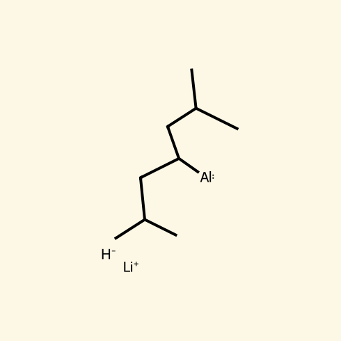 CC(C)C[CH]([Al])CC(C)C.[H-].[Li+]